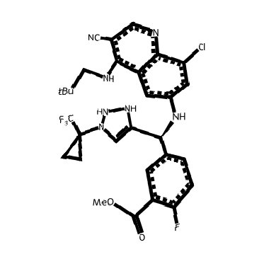 COC(=O)c1cc([C@H](Nc2cc(Cl)c3ncc(C#N)c(NCC(C)(C)C)c3c2)C2=CN(C3(C(F)(F)F)CC3)NN2)ccc1F